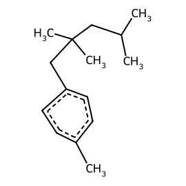 Cc1ccc(CC(C)(C)CC(C)C)cc1